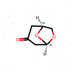 O=C1C[C@H]2CO[C@@H](C1)O2